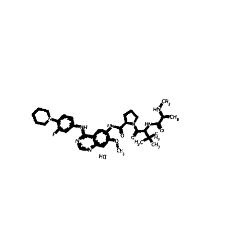 CNC(C)C(=O)NC(C(=O)N1CCCC1C(=O)Nc1cc2c(Nc3ccc(N4CCCCC4)c(F)c3)ncnc2cc1OC)C(C)(C)C.Cl